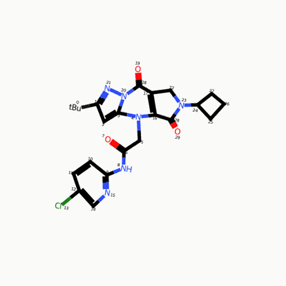 CC(C)(C)c1cc2n(CC(=O)Nc3ccc(Cl)cn3)c3c(c(=O)n2n1)CN(C1CCC1)C3=O